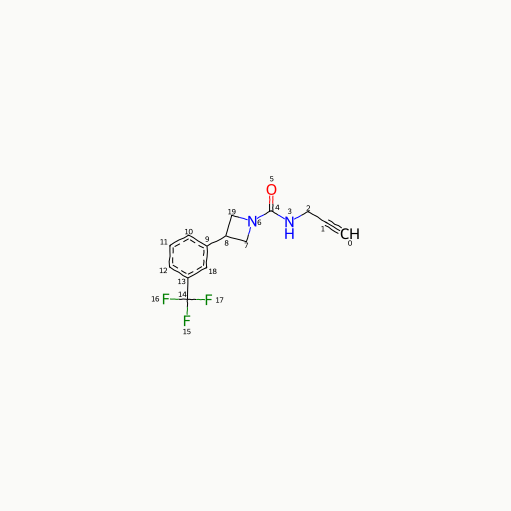 C#CCNC(=O)N1CC(c2cccc(C(F)(F)F)c2)C1